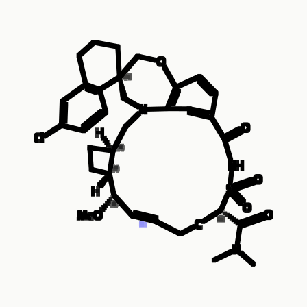 CO[C@H]1/C=C/CC[C@@H](C(=O)N(C)C)S(=O)(=O)NC(=O)c2ccc3c(c2)N(C[C@@H]2CC[C@H]21)C[C@@]1(CCCc2cc(Cl)ccc21)CO3